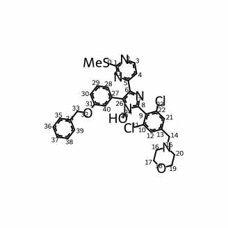 CSc1nccc(-c2nc(-c3c(Cl)cc(CN4CCOCC4)cc3Cl)n(O)c2-c2cccc(OCc3ccccc3)c2)n1